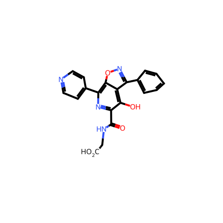 O=C(O)CNC(=O)c1nc(-c2ccncc2)c2onc(-c3ccccc3)c2c1O